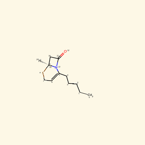 CCCCCC1=CCS[C@H]2CC(=O)N12